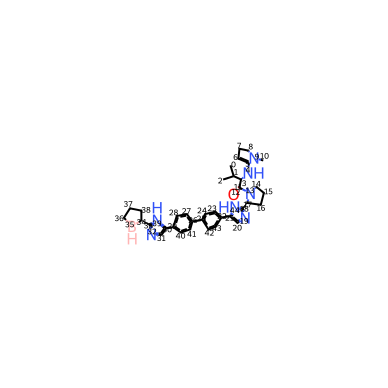 CC(C)[C@@H](NC1=CCCN1C)C(=O)N1CCC[C@H]1c1ncc(-c2ccc(-c3ccc(-c4cnc([C@H]5BCCC5)[nH]4)cc3)cc2)[nH]1